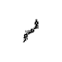 CCCc1nc2cc(OC[C@@H](O)CN3CCN(CCn4cc(-c5ccc(F)cc5)cn4)CC3)ccc2s1